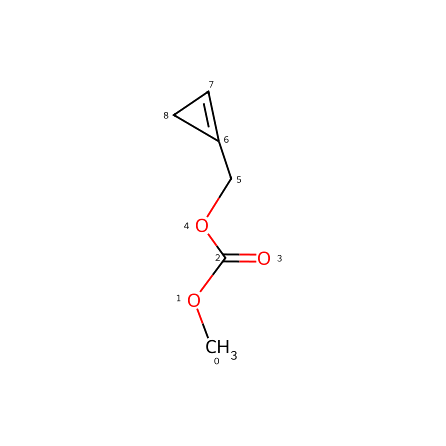 COC(=O)OCC1=CC1